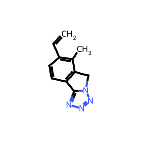 C=Cc1ccc2c(c1C)Cn1nnnc1-2